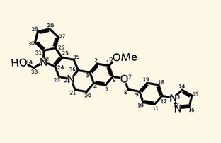 COc1cc2c(cc1OCc1ccc(-n3cccn3)cc1)CCN1Cc3c(c4ccccc4n3CO)CC21